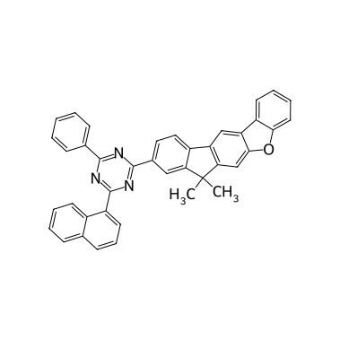 CC1(C)c2cc(-c3nc(-c4ccccc4)nc(-c4cccc5ccccc45)n3)ccc2-c2cc3c(cc21)oc1ccccc13